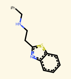 CC(C)CNCCc1nc2ccccc2s1